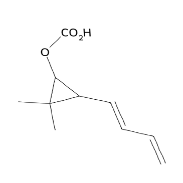 C=CC=CC1C(OC(=O)O)C1(C)C